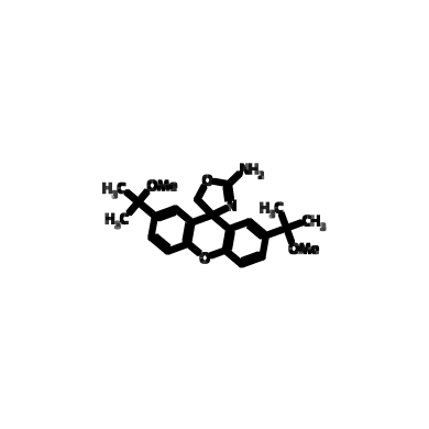 COC(C)(C)c1ccc2c(c1)C1(COC(N)=N1)c1cc(C(C)(C)OC)ccc1O2